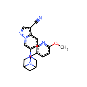 COc1ccc(CN2C3CC2CN(c2ccc4c(C#N)cnn4c2)C3)cn1